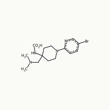 CN(C)CC1(NC(=O)O)CCN(c2ccc(Br)cn2)CC1